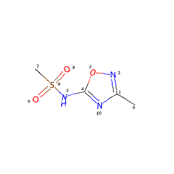 Cc1noc(NS(C)(=O)=O)n1